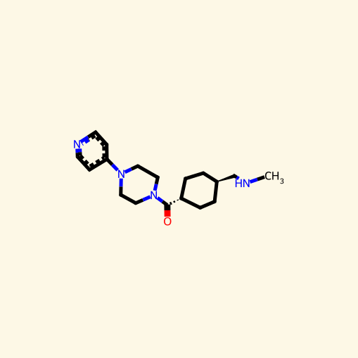 CNC[C@H]1CC[C@H](C(=O)N2CCN(c3ccncc3)CC2)CC1